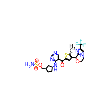 Cc1sc(C(=O)c2cncnc2N[C@H]2CC[C@@H](COS(N)(=O)=O)C2)cc1C1OCCn2cc(C(F)(F)F)nc21